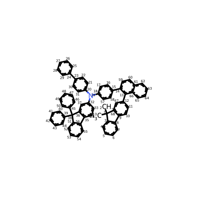 CC1(C)c2ccccc2-c2ccc(-c3c(-c4ccc(N(c5ccc(-c6ccccc6)cc5)c5ccc6c(c5)C(c5ccccc5)(c5ccccc5)c5ccccc5-6)cc4)ccc4ccccc34)cc21